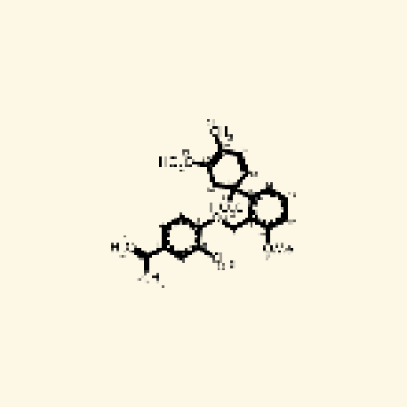 C=C(C)c1ccc(OCc2c(OC)cccc2C2(C(=O)O)C=CC(C)=C(C(=O)O)C2)c(C)c1